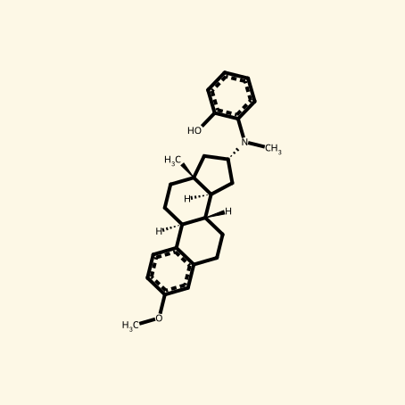 COc1ccc2c(c1)CC[C@@H]1[C@@H]2CC[C@]2(C)C[C@H](N(C)c3ccccc3O)C[C@@H]12